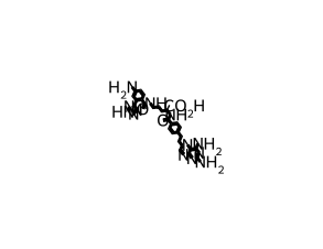 Nc1ccc(C(=O)NCCC[C@H](NC(=O)c2ccc(CCc3cnc4nc(N)nc(N)c4n3)cc2)C(=O)O)c(-c2nn[nH]n2)c1